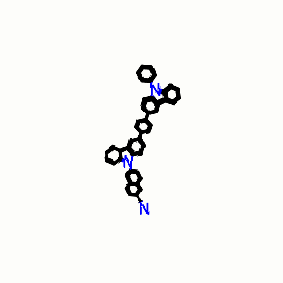 N#Cc1ccc2cc(N3c4ccc(-c5ccc(-c6ccc7c(c6)c6ccccc6n7-c6ccccc6)cc5)cc4C4C=CC=CC43)ccc2c1